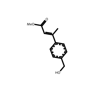 COC(=O)C=C(C)c1ccc(CO)cc1